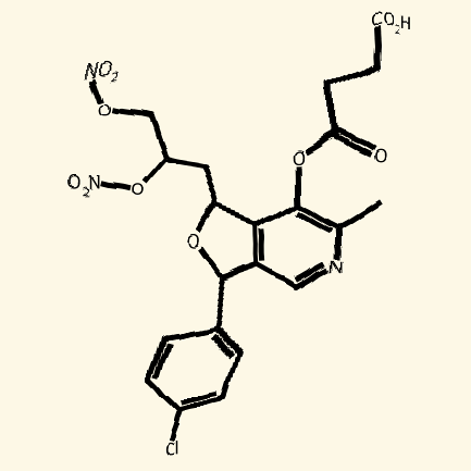 Cc1ncc2c(c1OC(=O)CCC(=O)O)C(CC(CO[N+](=O)[O-])O[N+](=O)[O-])OC2c1ccc(Cl)cc1